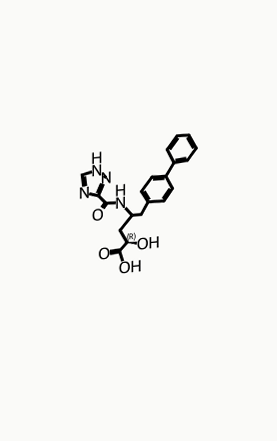 O=C(NC(Cc1ccc(-c2ccccc2)cc1)C[C@@H](O)C(=O)O)c1nc[nH]n1